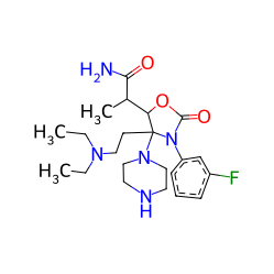 CCN(CC)CCC1(N2CCNCC2)C(C(C)C(N)=O)OC(=O)N1c1cccc(F)c1